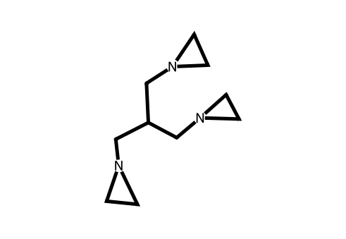 C1CN1CC(CN1CC1)CN1CC1